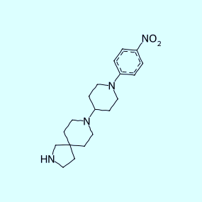 O=[N+]([O-])c1ccc(N2CCC(N3CCC4(CCNC4)CC3)CC2)cc1